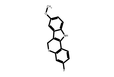 COc1ccc2[nH]c3c(c2c1)CSc1cc(F)ccc1-3